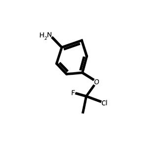 CC(F)(Cl)Oc1ccc(N)cc1